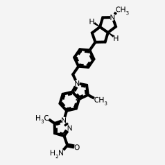 Cc1cn(Cc2ccc(C3C[C@@H]4CN(C)C[C@@H]4C3)cc2)c2ccc(-n3nc(C(N)=O)cc3C)cc12